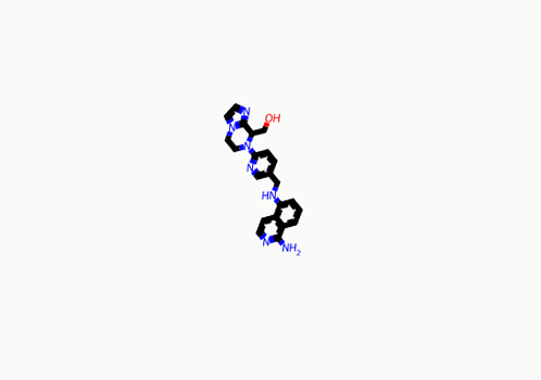 Nc1nccc2c(NCc3ccc(N4CCn5ccnc5C4CO)nc3)cccc12